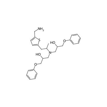 CC(Cc1ccc(CN)s1)N(CC(O)COc1ccccc1)CC(O)COc1ccccc1